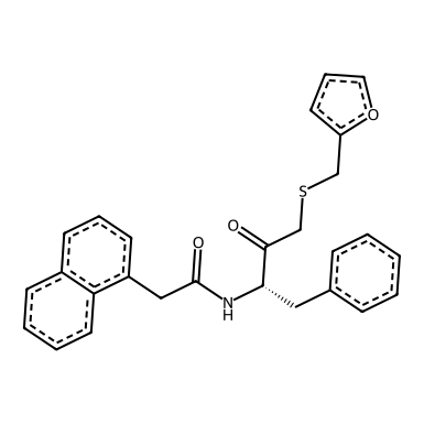 O=C(Cc1cccc2ccccc12)N[C@@H](Cc1ccccc1)C(=O)CSCc1ccco1